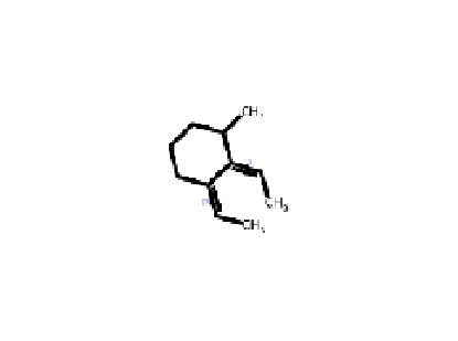 C/C=C1/CCCC(C)/C1=C/C